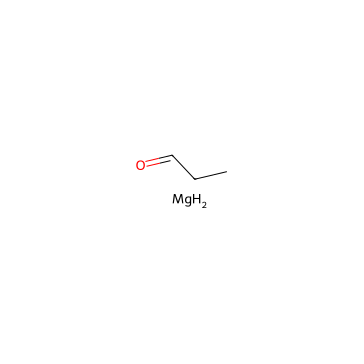 CCC=O.[MgH2]